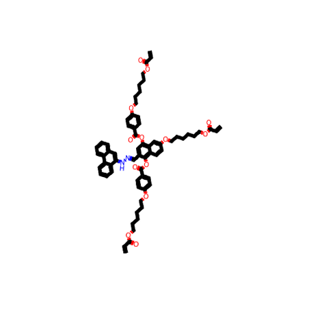 C=CC(=O)OCCCCCCOc1ccc(C(=O)Oc2cc(/C=N/Nc3cc4ccccc4c4ccccc34)c(OC(=O)c3ccc(OCCCCCCOC(=O)C=C)cc3)c3ccc(OCCCCCCOC(=O)C=C)cc23)cc1